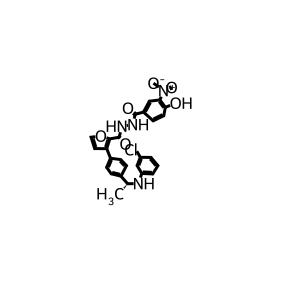 C[C@@H](Nc1cccc(Cl)c1)c1ccc(-c2ccoc2C(=O)NNC(=O)c2ccc(O)c([N+](=O)[O-])c2)cc1